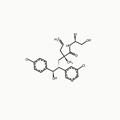 C=CC[C@@](C)(C[C@H](c1cncc(Cl)c1)[C@@H](O)c1ccc(Cl)cc1)C(=O)N[C@@H](CC)CO